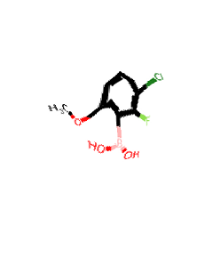 COc1ccc(Cl)c(F)c1B(O)O